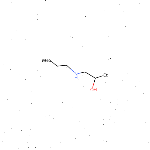 CCC(O)CNCCSC